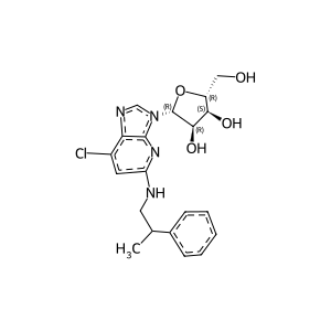 CC(CNc1cc(Cl)c2ncn([C@@H]3O[C@H](CO)[C@@H](O)[C@H]3O)c2n1)c1ccccc1